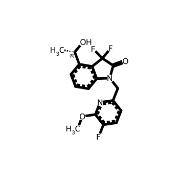 COc1nc(CN2C(=O)C(F)(F)c3c([C@H](C)O)cccc32)ccc1F